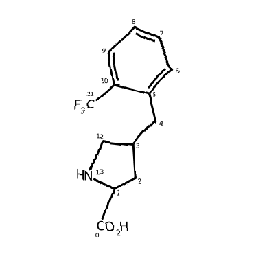 O=C(O)C1CC(Cc2ccccc2C(F)(F)F)CN1